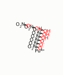 O=[N+]([O-])O.O=[N+]([O-])O.O=[N+]([O-])O.O=[N+]([O-])O.O=[N+]([O-])[O-].O=[N+]([O-])[O-].O=[N+]([O-])[O-].O=[N+]([O-])[O-].[Pu+4]